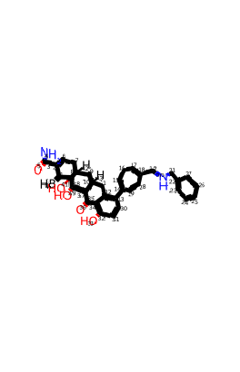 B=C1C(C(N)=O)=CC[C@@H]2C[C@@H]3Cc4c(C5=CCC=C(CNCc6ccccc6)C=C5)ccc(O)c4C(=O)C3=C(O)[C@]12O